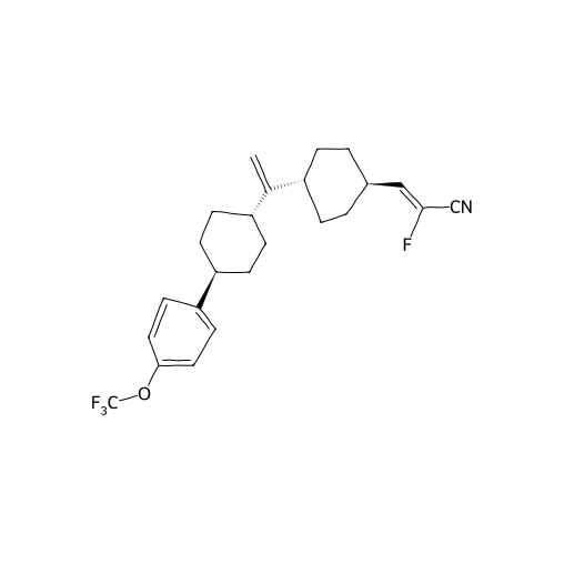 C=C([C@H]1CC[C@H](/C=C(\F)C#N)CC1)[C@H]1CC[C@H](c2ccc(OC(F)(F)F)cc2)CC1